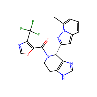 Cc1cccc2cc([C@@H]3c4nc[nH]c4CCN3C(=O)c3ocnc3C(F)(F)F)nn12